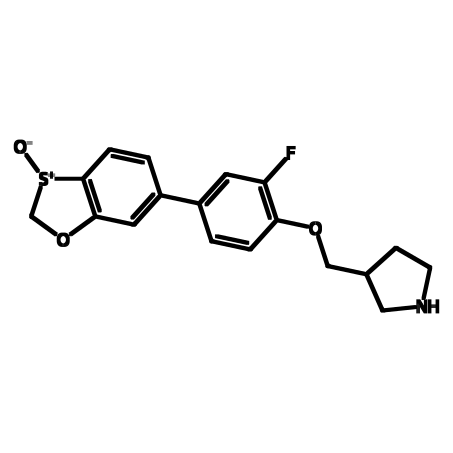 [O-][S+]1COc2cc(-c3ccc(OCC4CCNC4)c(F)c3)ccc21